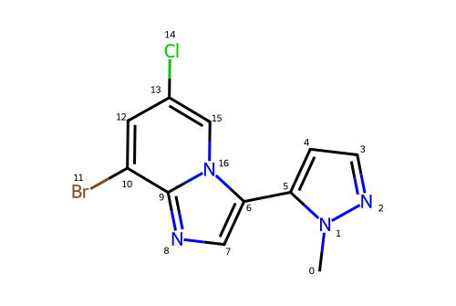 Cn1nccc1-c1cnc2c(Br)cc(Cl)cn12